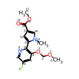 COCOc1cc(F)cnc1-c1cc(C(=O)OC)cn1C